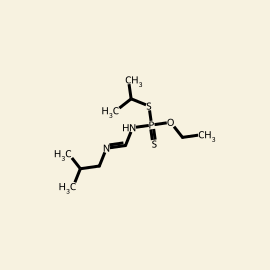 CCOP(=S)(NC=NCC(C)C)SC(C)C